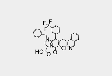 O=C(O)C1CN(Cc2ccccc2)c2c(-c3cccc(C(F)(F)F)c3)c(Cc3cncc4ccccc34)c(Cl)c(=O)n21